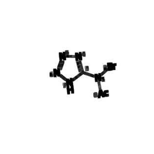 CC(=O)N(Br)c1nnn[nH]1